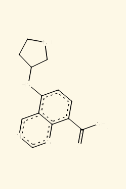 NC(=O)c1ccc(NC2CCNC2)c2cncnc12